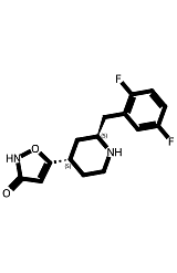 O=c1cc([C@H]2CCN[C@H](Cc3cc(F)ccc3F)C2)o[nH]1